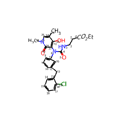 CCOC(=O)CCNC(=O)N(c1cccc(Cc2ccccc2Cl)c1)c1c(O)c(C)cn(C)c1=O